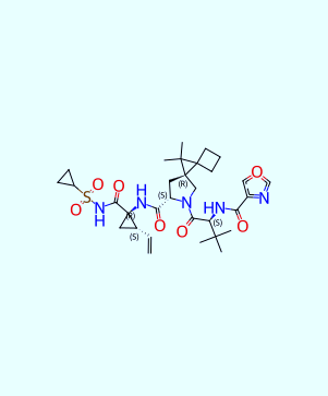 C=C[C@@H]1C[C@]1(NC(=O)[C@@H]1C[C@@]2(CN1C(=O)[C@@H](NC(=O)c1cocn1)C(C)(C)C)C(C)(C)C21CCC1)C(=O)NS(=O)(=O)C1CC1